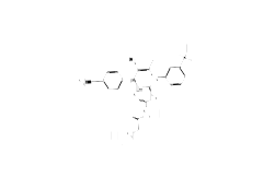 [C-]#[N+]C1=C(C)N(c2cccc(C(F)(F)F)c2)c2nc(NC(=O)CN)nn2[C@@H]1c1ccc(C#N)cc1